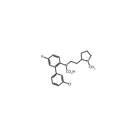 CN1CCCC1CCN(C(=O)O)c1ccc(F)cc1-c1cccc(Cl)c1